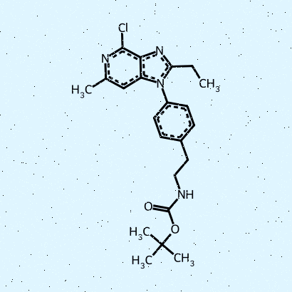 CCc1nc2c(Cl)nc(C)cc2n1-c1ccc(CCNC(=O)OC(C)(C)C)cc1